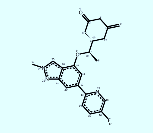 C=C1CC(=O)C[C@@H]([C@@H](C)Oc2cc(-c3ccc(F)cn3)cc3nn(C)cc23)C1